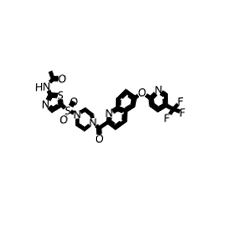 CC(=O)Nc1ncc(S(=O)(=O)N2CCN(C(=O)c3ccc4cc(Oc5ccc(C(F)(F)F)cn5)ccc4n3)CC2)s1